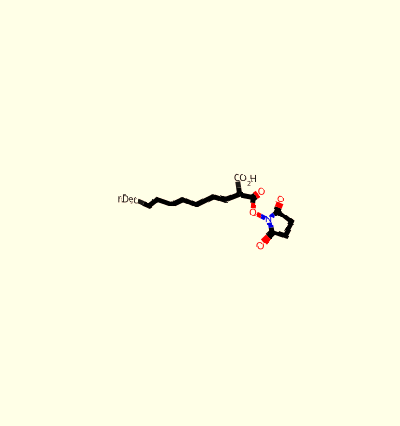 CCCCCCCCCCCCCCCCCC(C(=O)O)C(=O)ON1C(=O)CCC1=O